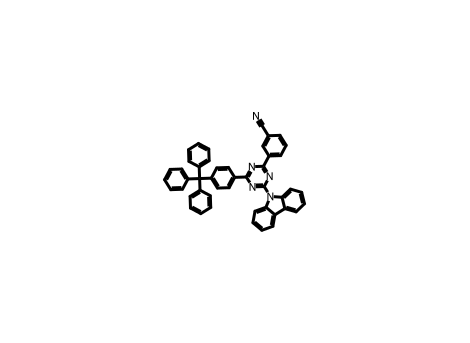 N#Cc1cccc(-c2nc(-c3ccc(C(c4ccccc4)(c4ccccc4)c4ccccc4)cc3)nc(-n3c4ccccc4c4ccccc43)n2)c1